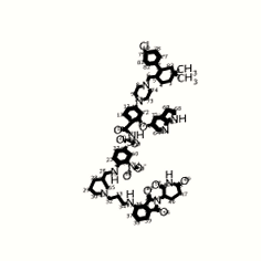 CC1(C)CCC(CN2CCN(c3ccc(C(=O)NS(=O)(=O)c4ccc(NCC5CCCN(CCCNc6cccc7c6C(=O)N(C6CCC(=O)NC6=O)C7=O)C5)c([N+](=O)[O-])c4)c(Oc4cnc5[nH]ccc5c4)c3)CC2)=C(c2ccc(Cl)cc2)C1